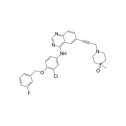 CP1(=O)CCN(CC#Cc2ccc3ncnc(Nc4ccc(OCc5cccc(F)c5)c(Cl)c4)c3c2)CC1